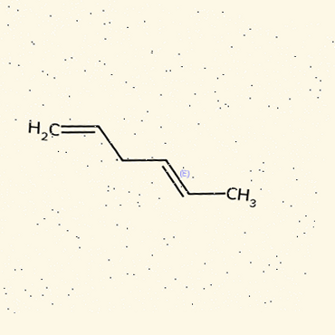 C=C[CH]/C=C/C